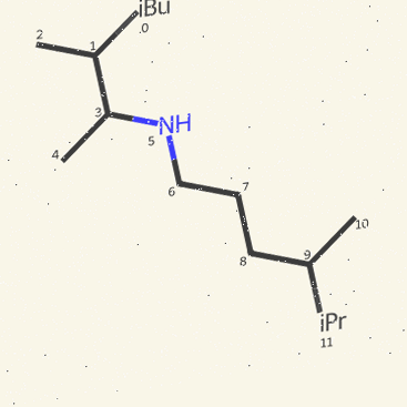 CCC(C)C(C)C(C)NCCCC(C)C(C)C